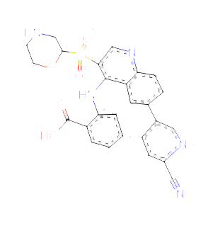 N#Cc1ccc(-c2ccc3ncc(S(=O)(=O)C4CNCCO4)c(Nc4ccccc4C(=O)O)c3c2)cn1